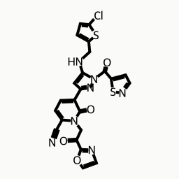 N#Cc1ccc(-c2cc(NCc3ccc(Cl)s3)n(C(=O)c3ccns3)n2)c(=O)n1CC(=O)c1ncco1